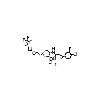 COC1CN(CCO[C@H]2C[C@@H](OC(F)(F)F)C2)CCC1NC(=O)COc1ccc(Cl)c(F)c1